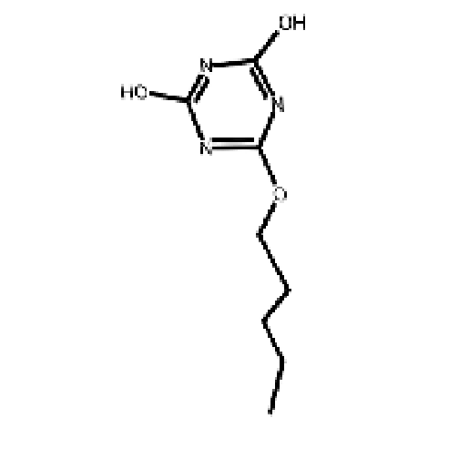 CCCCCOc1nc(O)nc(O)n1